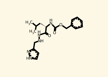 CC(C)C[C@H](NC(=O)OCc1ccccc1)C(=O)NNCc1cc[nH]n1